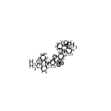 CC1(C)c2ccccc2N(c2ccc3c(c2)Oc2cc(N4c5ccccc5C(C)(C)c5ccccc54)ccc2S3(=O)=O)c2ccccc21